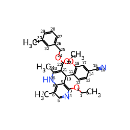 CCOc1ncc(C)c2c1[C@H](c1ccc(C#N)cc1OC)C(C(=O)OCc1cccc(C)c1)=C(C)N2